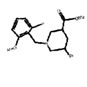 COC(=O)C1CC(C(C)C)CN(Cc2c(F)cccc2OC)C1